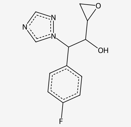 OC(C1CO1)C(c1ccc(F)cc1)n1cncn1